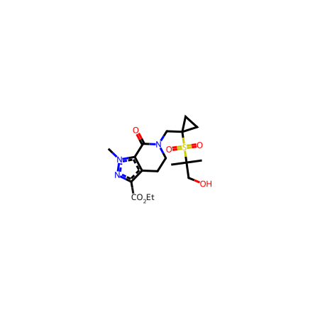 CCOC(=O)c1nn(C)c2c1CCN(CC1(S(=O)(=O)C(C)(C)CO)CC1)C2=O